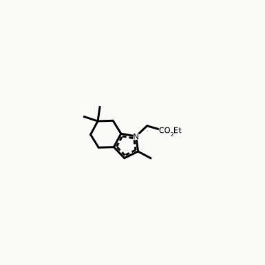 CCOC(=O)Cn1c(C)cc2c1CC(C)(C)CC2